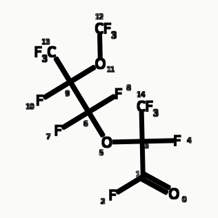 O=C(F)C(F)(OC(F)(F)C(F)(OC(F)(F)F)C(F)(F)F)C(F)(F)F